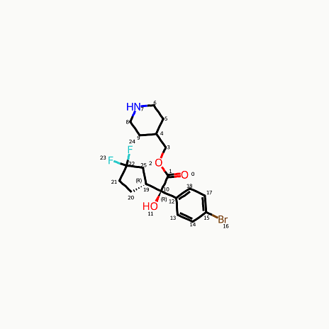 O=C(OCC1CCNCC1)[C@](O)(c1ccc(Br)cc1)[C@@H]1CCC(F)(F)C1